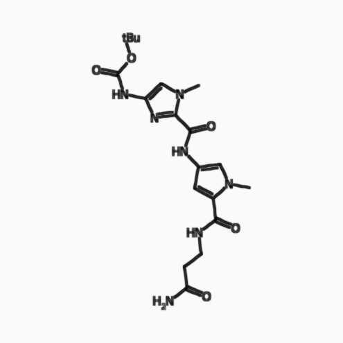 Cn1cc(NC(=O)c2nc(NC(=O)OC(C)(C)C)cn2C)cc1C(=O)NCCC(N)=O